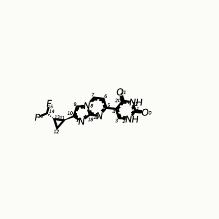 O=c1[nH]cc(-c2ccn3cc([C@H]4C[C@@H]4C(F)F)nc3n2)c(=O)[nH]1